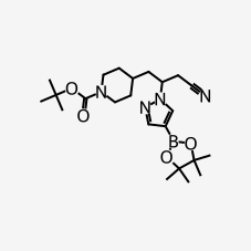 CC(C)(C)OC(=O)N1CCC(CC(CC#N)n2cc(B3OC(C)(C)C(C)(C)O3)cn2)CC1